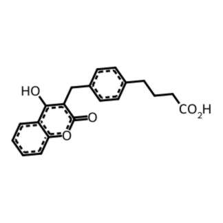 O=C(O)CCCc1ccc(Cc2c(O)c3ccccc3oc2=O)cc1